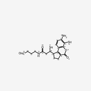 Nc1ccc2c3c(c(=O)oc2c1S)CCC3C(S)CC(=O)NCCCC=O